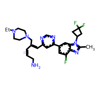 CCN1CCN(CC(=Cc2cc(-c3cc(F)c4nc(C)n(C5CC(F)(F)C5)c4c3)ncn2)/C=C\CN)CC1